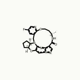 C[C@H]1CCOc2ncc(F)cc2CN2c3nc4c(cnn4cc3O[C@H]3CCC[C@H]32)C(=O)N1